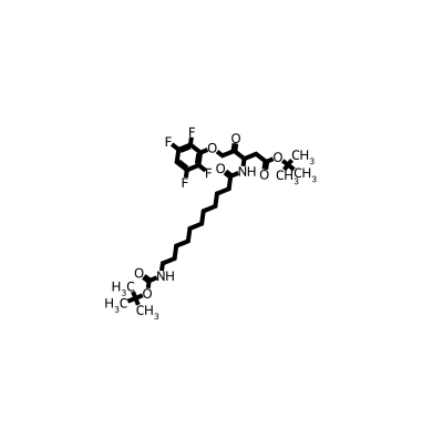 CC(C)(C)OC(=O)CC(NC(=O)CCCCCCCCCCNC(=O)OC(C)(C)C)C(=O)COc1c(F)c(F)cc(F)c1F